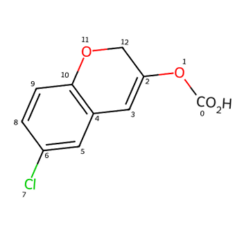 O=C(O)OC1=Cc2cc(Cl)ccc2OC1